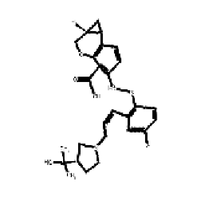 CC(C)(O)[C@@H]1CCN(C/C=C\c2cc(F)ccc2SNc2ccc3c(c2C(=O)O)OC[C@@H]2CC32)C1